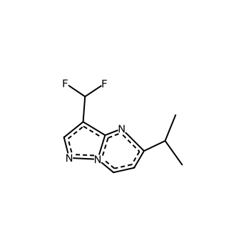 CC(C)c1ccn2ncc(C(F)F)c2n1